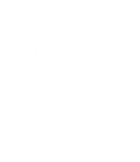 CC(C)OC(O[SiH2]CCCCCc1ccc(F)c(F)c1)OC(C)C